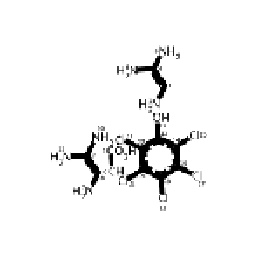 CC(=O)O.NC=C(N)N.NC=C(N)N.Oc1c(Cl)c(Cl)c(Cl)c(Cl)c1Cl